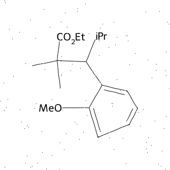 CCOC(=O)C(C)(C)C(c1ccccc1OC)C(C)C